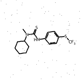 CN(C(=S)Nc1ccc(SC(F)(F)F)cc1)C1CCCCC1